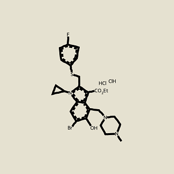 CCOC(=O)c1c(CSc2ccc(F)cc2)n(C2CC2)c2cc(Br)c(O)c(CN3CCN(C)CC3)c12.Cl.Cl